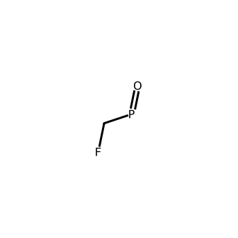 O=PCF